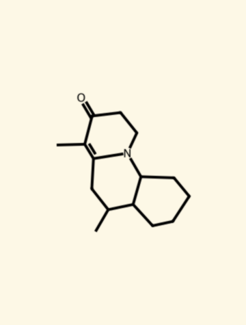 CC1=C2CC(C)C3CCCCC3N2CCC1=O